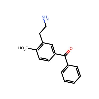 NCCc1cc(C(=O)c2ccccc2)ccc1C(=O)O